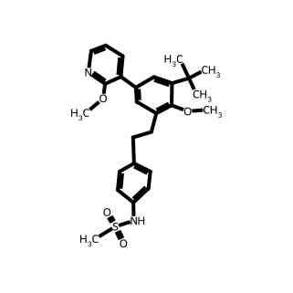 COc1ncccc1-c1cc(CCc2ccc(NS(C)(=O)=O)cc2)c(OC)c(C(C)(C)C)c1